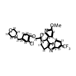 COc1ccc(C2c3c(nc4cc(C(F)(F)F)ccn34)CCN2C(=O)COc2ccc(CN3CCOCC3)cc2Cl)cn1